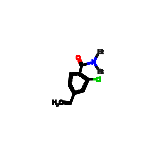 C=Cc1ccc(C(=O)N(CC)CC)c(Cl)c1